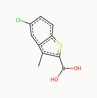 Cc1c(B(O)O)sc2ccc(Cl)cc12